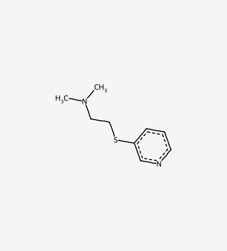 CN(C)CCSc1cccnc1